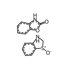 O=c1[nH]c2ccccc2o1.[O-][S+]1CNc2ccccc21